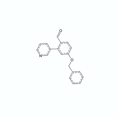 O=Cc1ccc(OCc2ccccc2)cc1-c1cccnc1